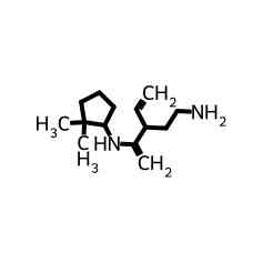 C=CC(CCN)C(=C)NC1CCCC1(C)C